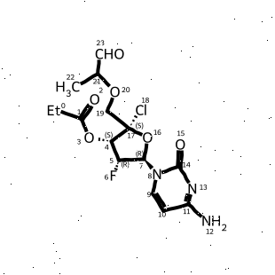 CCC(=O)O[C@H]1[C@@H](F)[C@H](n2ccc(N)nc2=O)O[C@]1(Cl)COC(C)C=O